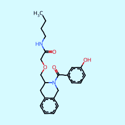 CCCCNC(=O)COCC1Cc2ccccc2CN1C(=O)c1cccc(O)c1